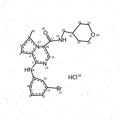 Cc1ccc2c(Nc3cccc(Br)c3)ncc(C(=O)NCC3CCOCC3)n12.Cl